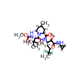 COC(=O)N[C@H](C(=O)N1CC[C@@H](C)C[C@H]1C(=O)N[C@@H](CCC(C)(F)F)C(=O)C(=O)NC1CC1)C(C)(C)C